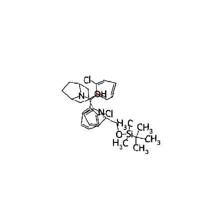 CC(C)(C)[Si](C)(C)OCc1cccc(C2(O)CC3CCC(C2)N3C(c2ccccc2Cl)c2ccccc2Cl)n1